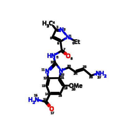 CCn1nc(C)cc1C(=O)Nc1nc2cc(C(N)=O)cc(OC)c2n1CC=CCN